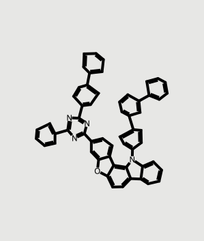 c1ccc(-c2ccc(-c3nc(-c4ccccc4)nc(-c4ccc5c(c4)oc4ccc6c7ccccc7n(-c7ccc(-c8cccc(-c9ccccc9)c8)cc7)c6c45)n3)cc2)cc1